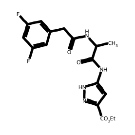 CCOC(=O)c1cc(NC(=O)C(C)NC(=O)Cc2cc(F)cc(F)c2)[nH]n1